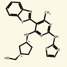 Cc1nc(Nc2nccs2)nc(N[C@H]2CC[C@@H](CO)C2)c1-c1nc2ccccc2s1